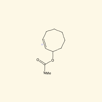 CNC(=O)OC1/C=C\CCCCC1